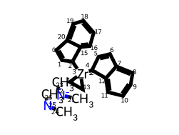 C1=C[CH]([Zr+2]2([CH]3C=Cc4ccccc43)[CH2][CH2]2)c2ccccc21.C[N-]C.C[N-]C